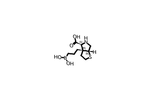 O=C(O)[C@H]1NC[C@@H]2SCC[C@@]21CCCB(O)O